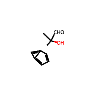 CC(C)(O)C=O.c1cc2cc-2c1